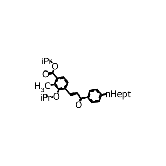 CCCCCCCc1ccc(C(=O)/C=C/c2ccc(C(=O)OC(C)C)c(C)c2OC(C)C)cc1